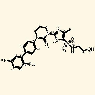 Cc1nc(N2CCCN(c3ccc(-c4cc(F)ccc4F)cc3)C2=O)sc1S(=O)(=O)NCCO